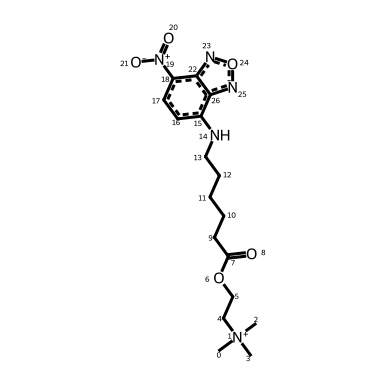 C[N+](C)(C)CCOC(=O)CCCCCNc1ccc([N+](=O)[O-])c2nonc12